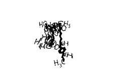 CCCNc1ccc(C(=O)NCCCCC(NC(=O)C(CS(=O)O)NC(=O)C(CS(=O)(=O)O)NC)C(=O)NC)cc1